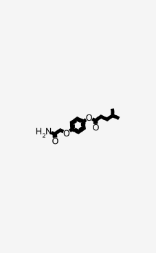 CC(C)CCC(=O)Oc1ccc(OCC(N)=O)cc1